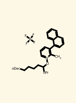 CCCCCCCCCCCCCCC(CCC)O[n+]1cccc(-c2cccc3ccccc23)c1C.F[B-](F)(F)F